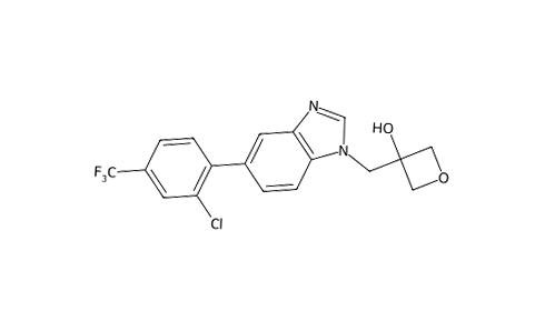 OC1(Cn2cnc3cc(-c4ccc(C(F)(F)F)cc4Cl)ccc32)COC1